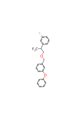 Fc1cccc(C(COCc2cccc(Oc3ccccc3)c2)C(F)(F)F)c1